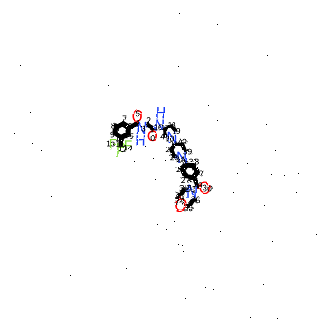 O=C(CNC(=O)c1cccc(C(F)(F)F)c1)NC1CCN(C2CCN(c3ccc(C(=O)N4CCOCC4)cc3)CC2)C1